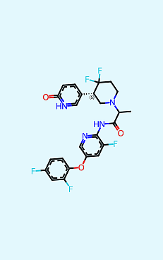 CC(C(=O)Nc1ncc(Oc2ccc(F)cc2F)cc1F)N1CCC(F)(F)[C@@H](c2ccc(=O)[nH]c2)C1